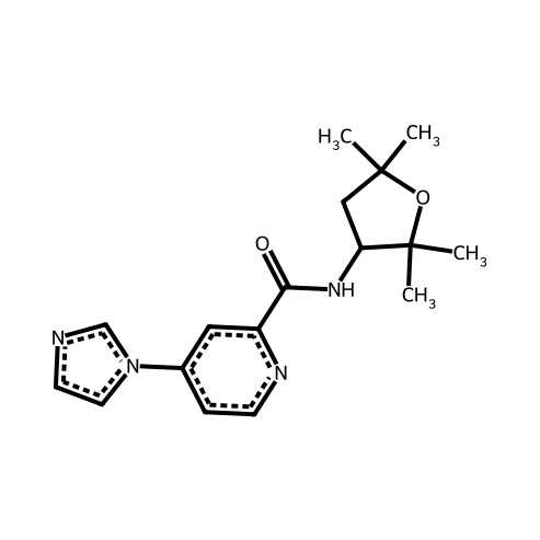 CC1(C)CC(NC(=O)c2cc(-n3ccnc3)ccn2)C(C)(C)O1